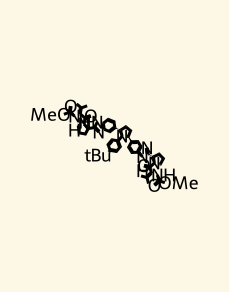 COC(=O)NC(C(=O)N1CCCC1c1nc2cc([C@@H]3CC[C@@H](c4ccc5[nH]c([C@@H]6CCCN6C(=O)C(NC(=O)OC)=C(C)C)nc5c4)N3c3ccc(C(C)(C)C)cc3)ccc2[nH]1)=C(C)C